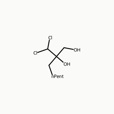 CCCCCCC(O)(CO)C(Cl)Cl